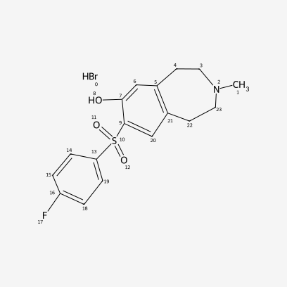 Br.CN1CCc2cc(O)c(S(=O)(=O)c3ccc(F)cc3)cc2CC1